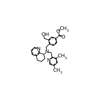 COC(=O)c1ccc(CN(Cc2ncc(C)cc2C)[C@H]2CCCc3cccnc32)c(CO)c1